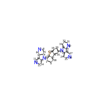 c1cc(-n2c3ccncc3c3cnccc32)c2sc3ccc(-n4c5ccncc5c5ncccc54)cc3c2c1